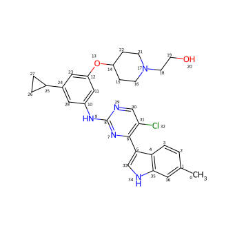 Cc1ccc2c(-c3nc(Nc4cc(OC5CCN(CCO)CC5)cc(C5CC5)c4)ncc3Cl)c[nH]c2c1